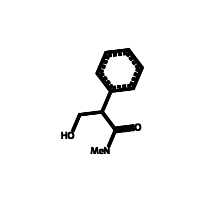 [CH2]NC(=O)C(CO)c1ccccc1